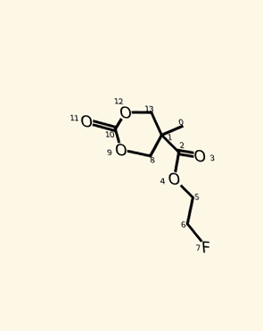 CC1(C(=O)OCCF)COC(=O)OC1